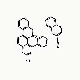 N#CC1=COc2ccccc2C1.Nc1cc(-c2ccccc2)c2c3c(ccc2c1)C1=C(CCC=C1)CC3=O